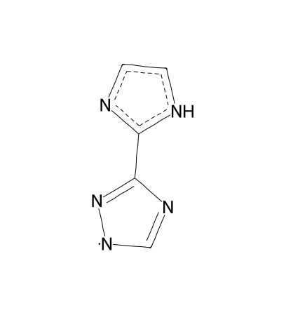 C1=NC(c2ncc[nH]2)=N[N]1